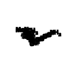 CN[C@@H](C)C(=O)N[C@H](C(=O)N1CCC[C@H]1c1nc(C(=O)c2cccc(OCCOCCOCCOCCN)c2)cs1)C1CCCCC1